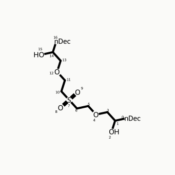 CCCCCCCCCCC(O)COCCS(=O)(=O)CCOCC(O)CCCCCCCCCC